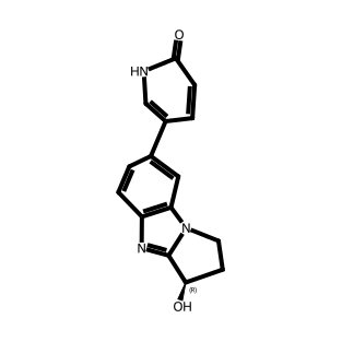 O=c1ccc(-c2ccc3nc4n(c3c2)CC[C@H]4O)c[nH]1